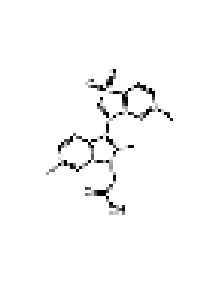 Cc1c(C2=CS(=O)(=O)c3ccc(Cl)cc32)c2ccc(F)cc2n1CC(=O)O